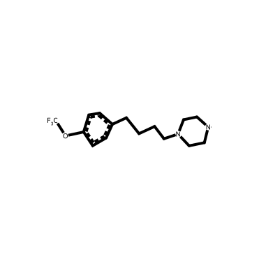 FC(F)(F)Oc1ccc(CCCCN2CC[N]CC2)cc1